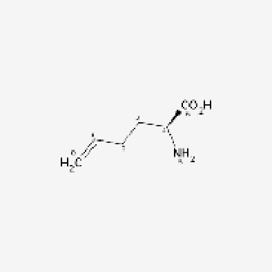 C=CCC[C@H](N)C(=O)O